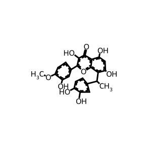 COc1ccc(-c2oc3c(C(C)c4ccc(O)c(O)c4)c(O)cc(O)c3c(=O)c2O)cc1O